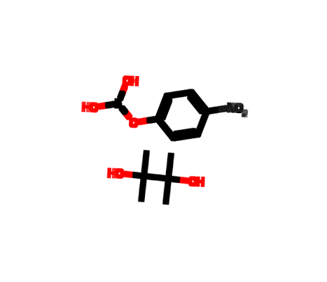 CC(C)(O)C(C)(C)O.O=[N+]([O-])c1ccc(OB(O)O)cc1